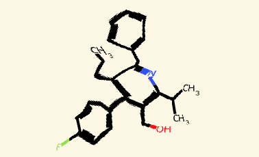 CCc1c(-c2ccccc2)nc(C(C)C)c(CO)c1-c1ccc(F)cc1